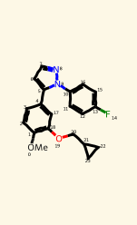 COc1ccc(-c2ccnn2-c2ccc(F)cc2)cc1OCC1CC1